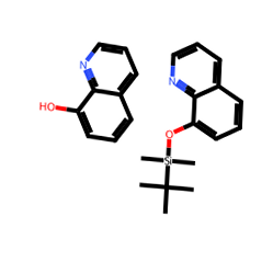 CC(C)(C)[Si](C)(C)Oc1cccc2cccnc12.Oc1cccc2cccnc12